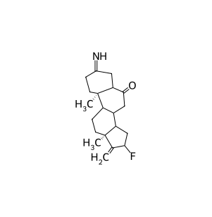 C=C1C(F)CC2C3CC(=O)C4CC(=N)CC[C@]4(C)C3CC[C@]12C